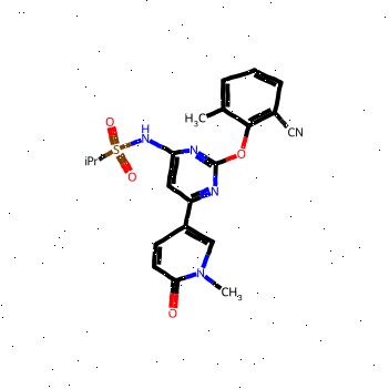 Cc1cccc(C#N)c1Oc1nc(NS(=O)(=O)C(C)C)cc(-c2ccc(=O)n(C)c2)n1